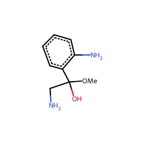 COC(O)(CN)c1ccccc1N